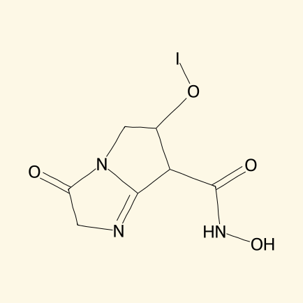 O=C(NO)C1C2=NCC(=O)N2CC1OI